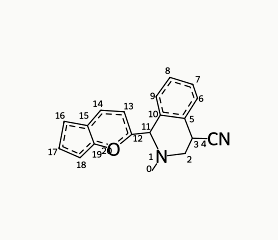 CN1CC(C#N)c2ccccc2C1c1ccc2cccc-2o1